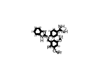 CCOc1cc(CN(c2ccc(C(=N)N)cc2)c2nc3ccccc3[nH]2)c(F)c(OC(C)C)c1